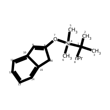 CCCC(C)(C)[Si](C)(C)OC1=Cc2ccccc2[CH]1